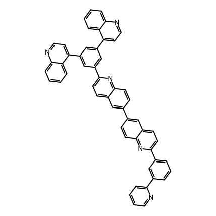 c1ccc(-c2cccc(-c3ccc4cc(-c5ccc6nc(-c7cc(-c8ccnc9ccccc89)cc(-c8ccnc9ccccc89)c7)ccc6c5)ccc4n3)c2)nc1